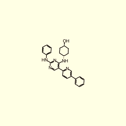 O[C@H]1CC[C@H](Nc2nc(Nc3ccccc3)ncc2-c2ccc(-c3ccccc3)cn2)CC1